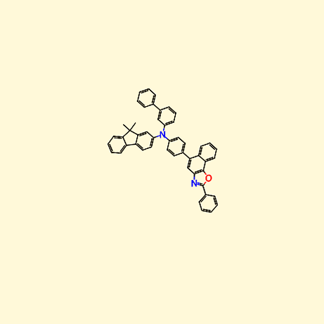 CC1(C)c2ccccc2-c2ccc(N(c3ccc(-c4cc5nc(-c6ccccc6)oc5c5ccccc45)cc3)c3cccc(-c4ccccc4)c3)cc21